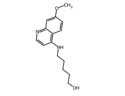 COc1ccc2c(NCCCCCO)ccnc2c1